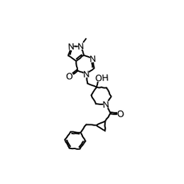 Cn1ncc2c(=O)n(CC3(O)CCN(C(=O)C4CC4Cc4ccccc4)CC3)cnc21